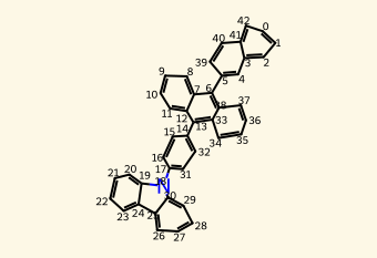 c1ccc2cc(-c3c4ccccc4c(-c4ccc(-n5c6ccccc6c6ccccc65)cc4)c4ccccc34)ccc2c1